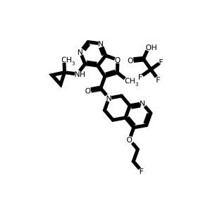 Cc1oc2ncnc(NC3(C)CC3)c2c1C(=O)N1CCc2c(OCCF)ccnc2C1.O=C(O)C(F)(F)F